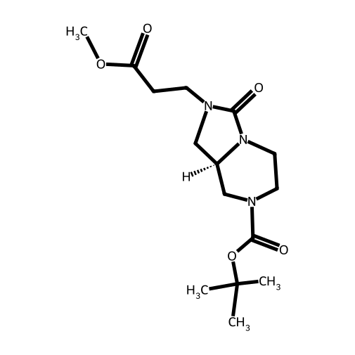 COC(=O)CCN1C[C@@H]2CN(C(=O)OC(C)(C)C)CCN2C1=O